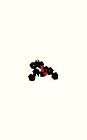 c1ccc(-c2ccc3cc(-c4ccc5oc6cccc(-c7cc(-c8ccccc8)nc(-c8ccccc8)c7)c6c5c4)ccc3c2)cc1